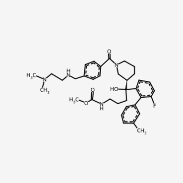 COC(=O)NCCCC(O)(c1cccc(F)c1-c1cccc(C)c1)[C@@H]1CCCN(C(=O)c2ccc(CNCCN(C)C)cc2)C1